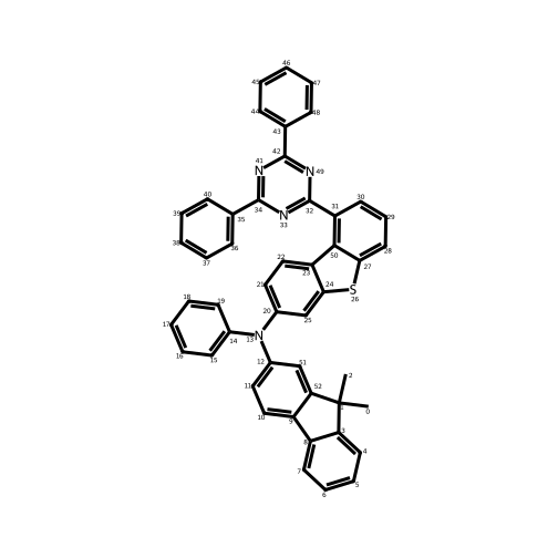 CC1(C)c2ccccc2-c2ccc(N(c3ccccc3)c3ccc4c(c3)sc3cccc(-c5nc(-c6ccccc6)nc(-c6ccccc6)n5)c34)cc21